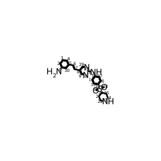 Nc1cccc(/C=C/c2cnc(Nc3ccc(S(=O)(=O)C4CCNCC4)cc3)nc2)c1